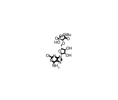 CC(C)COC(=O)[C@H](OC[C@H]1O[C@@H](n2cnc3c(N)nc(Cl)nc32)[C@H](O)[C@@H]1O)P(=O)(O)O